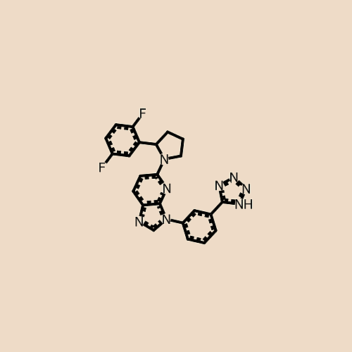 Fc1ccc(F)c(C2CCCN2c2ccc3ncn(-c4cccc(-c5nnn[nH]5)c4)c3n2)c1